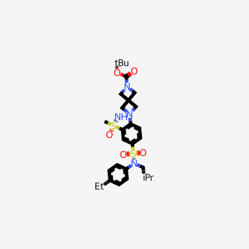 CCc1ccc(N(CC(C)C)S(=O)(=O)c2ccc(N3CC4(CN(C(=O)OC(C)(C)C)C4)C3)c(S(C)(=N)=O)c2)cc1